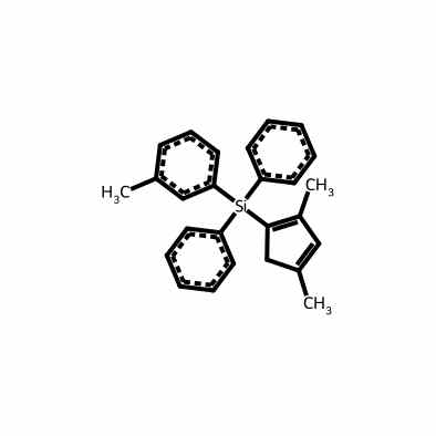 CC1=CC(C)=C([Si](c2ccccc2)(c2ccccc2)c2cccc(C)c2)C1